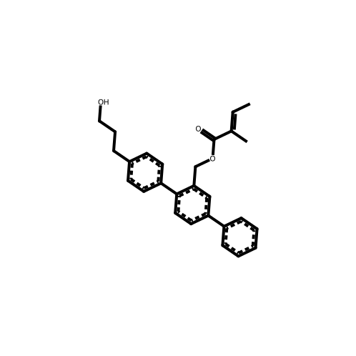 C/C=C(\C)C(=O)OCc1cc(-c2ccccc2)ccc1-c1ccc(CCCO)cc1